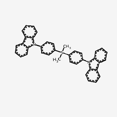 CS(C)(c1ccc(-n2c3ccccc3c3ccccc32)cc1)c1ccc(-n2c3ccccc3c3ccccc32)cc1